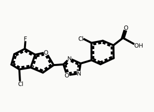 O=C(O)c1ccc(-c2noc(-c3cc4c(Cl)ccc(F)c4o3)n2)c(Cl)c1